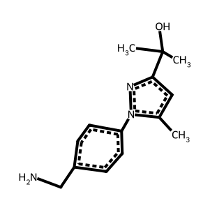 Cc1cc(C(C)(C)O)nn1-c1ccc(CN)cc1